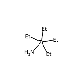 C[CH2][Zr]([NH2])([CH2]C)([CH2]C)[CH2]C